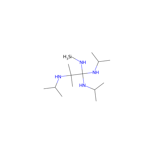 CC(C)NC(C)(C)C(N[SiH3])(NC(C)C)NC(C)C